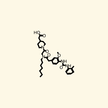 CCCCCCCN(CC(=O)N1CCC(CC(=O)O)CC1)C(=O)Cc1ccc(NC(=O)Nc2ccccc2C)c(OC)c1